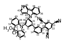 CC1(C)c2ccccc2N(c2cc(-c3cccc(-c4c(C#N)cc(C#N)cc4C#N)c3)cc(-n3c4ccccc4c4cnccc43)c2)c2ccccc21